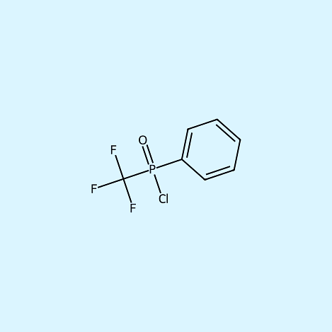 O=P(Cl)(c1ccccc1)C(F)(F)F